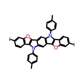 Cc1ccc(-n2c3cc4c5oc6cc(I)ccc6c5n(-c5ccc(C)cc5)c4cc3c3oc4cc(I)ccc4c32)cc1